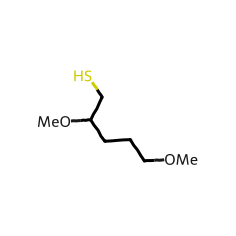 COCCCC(CS)OC